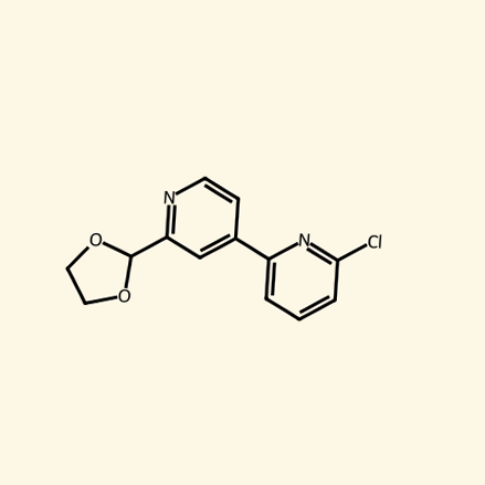 Clc1cccc(-c2ccnc(C3OCCO3)c2)n1